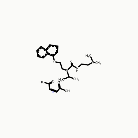 CC(C)N(CCOc1cccc2ccccc12)C(=S)NCCN(C)C.O=C(O)/C=C\C(=O)O